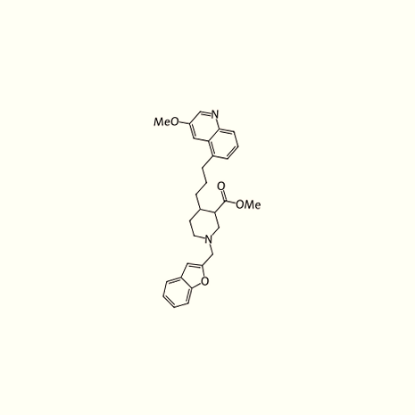 COC(=O)C1CN(Cc2cc3ccccc3o2)CCC1CCCc1cccc2ncc(OC)cc12